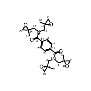 CC1(CN(CC2(C)CO2)C(=O)c2ccc(C(=O)N(CC3(C)CO3)CC3(C)CO3)cc2)CO1